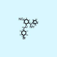 CCCC(c1ccc(C#N)cc1OCc1ccc(Br)cc1)n1ccnc1